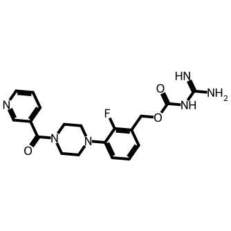 N=C(N)NC(=O)OCc1cccc(N2CCN(C(=O)c3cccnc3)CC2)c1F